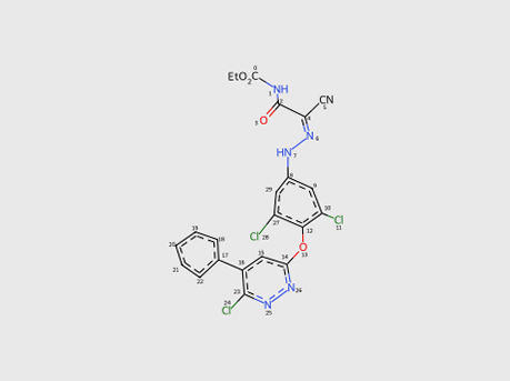 CCOC(=O)NC(=O)C(C#N)=NNc1cc(Cl)c(Oc2cc(-c3ccccc3)c(Cl)nn2)c(Cl)c1